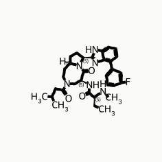 CC[C@H](NC)C(=O)N[C@H]1CN(C(=O)CC(C)C)CC[C@H]2CC[C@@H](c3nc4c(-c5cccc(F)c5)cccc4[nH]3)N2C1=O